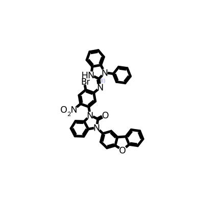 O=c1n(-c2ccc3oc4ccccc4c3c2)c2ccccc2n1-c1cc(/N=c2\[nH]c3ccccc3n2-c2ccccc2)c(Br)cc1[N+](=O)[O-]